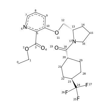 CCOC(=O)c1ncccc1OC[C@@H]1CCCN1C(=O)[C@H]1CC[C@H](C(F)(F)F)CC1